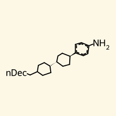 CCCCCCCCCCCC1CCC([C@H]2CC[C@H](c3ccc(N)cc3)CC2)CC1